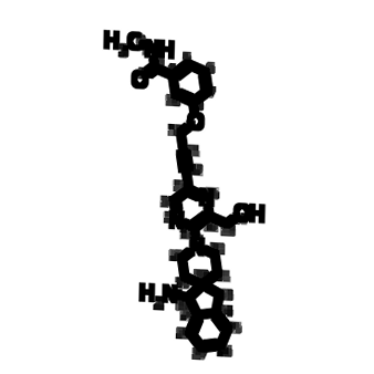 CNC(=O)c1cccc(OCC#Cc2cnc(N3CCC4(CC3)Cc3ccccc3C4N)c(CO)n2)c1